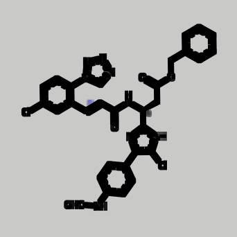 O=CNc1ccc(-c2nc([C@H](CC(=O)OCc3ccccc3)NC(=O)/C=C/c3cc(Cl)ccc3-n3cnnn3)[nH]c2Cl)cc1